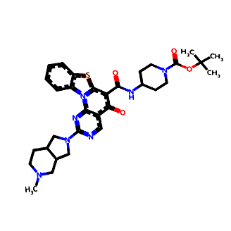 CN1CCC2CN(c3ncc4c(=O)c(C(=O)NC5CCN(C(=O)OC(C)(C)C)CC5)c5sc6ccccc6n5c4n3)CC2C1